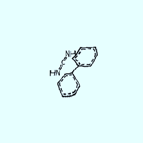 N=C=N.c1ccc(-c2ccccc2)cc1